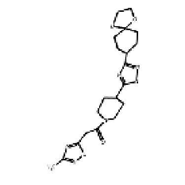 Cc1noc(CC(=O)N2CCC(c3nc(C4CCC5(CC4)OCCO5)no3)CC2)n1